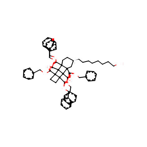 O=C(OCc1ccccc1)C12CCC1(C(=O)OCc1ccccc1)C1(C(=O)OCc3ccccc3)C3(C(=O)OCc4ccccc4)C[C@H](CCCCCCCCO)CCC3(C(=O)OCc3ccccc3)C21C(=O)OCc1ccccc1